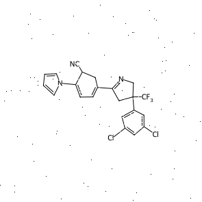 N#CC1CC(C2=NCC(c3cc(Cl)cc(Cl)c3)(C(F)(F)F)C2)=CC=C1n1cccc1